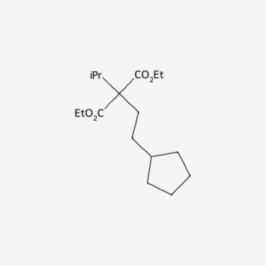 CCOC(=O)C(CCC1CCCC1)(C(=O)OCC)C(C)C